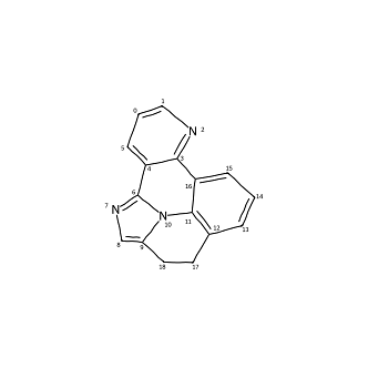 c1cnc2c(c1)c1ncc3n1c1c(cccc21)CC3